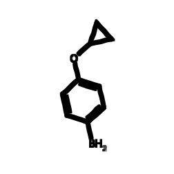 Bc1ccc(OC2CC2)cc1